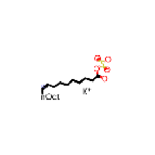 CCCCCCCC/C=C\CCCCCCCC(=O)OS(=O)(=O)[O-].[K+]